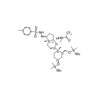 Cc1ccc(S(=O)(=O)NN=C2CC[C@H]3[C@H](CNC(=O)C(F)(F)F)[C@@H]([C@@]4(C)CC[C@H](O[Si](C)(C)C(C)(C)C)C[C@@H]4CO[Si](C)(C)C(C)(C)C)CC[C@]23C)cc1